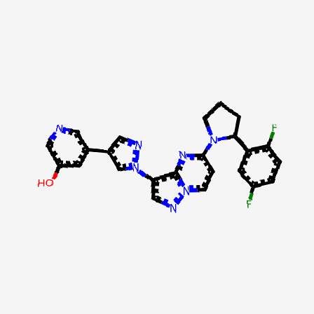 Oc1cncc(-c2cnn(-c3cnn4ccc(N5CCCC5c5cc(F)ccc5F)nc34)c2)c1